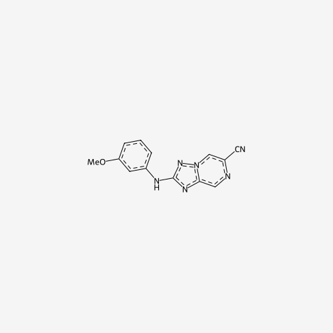 COc1cccc(Nc2nc3cnc(C#N)cn3n2)c1